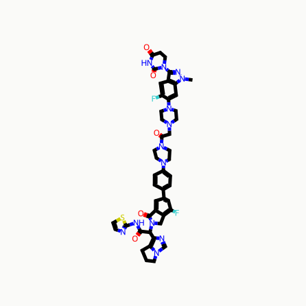 Cn1nc(N2CCC(=O)NC2=O)c2cc(F)c(N3CCN(CC(=O)N4CCN(c5ccc(-c6cc(F)c7c(c6)C(=O)N(C(C(=O)Nc6nccs6)c6ncn8c6CCC8)C7)cc5)CC4)CC3)cc21